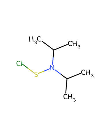 CC(C)N(SCl)C(C)C